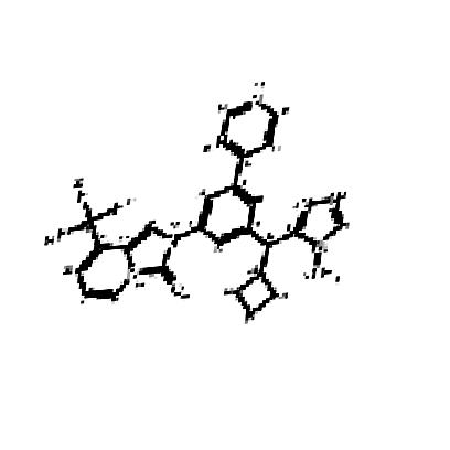 Cn1cnnc1C(c1cc(-c2ccncn2)cc(-n2cc3c(C(F)(F)F)cccn3c2=O)c1)C1CCC1